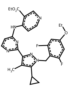 CCOC(=O)c1cnccc1Nc1ccnc(-c2nn(Cc3c(F)cc(OCC)cc3F)c(C3CC3)c2C)n1